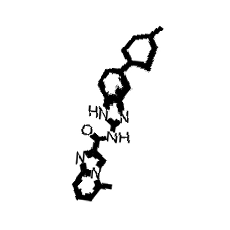 Cc1cccc2nc(C(=O)Nc3nc4cc(C5CCC(C)CC5)ccc4[nH]3)cn12